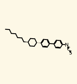 CCCCCCC[C@H]1CC[C@H](c2ccc(-c3ccc(N=C=S)cc3)cc2)CC1